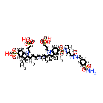 CN(CCCC(=O)NCc1ccc(S(N)(=O)=O)cc1)S(=O)(=O)c1ccc2c(c1)C(C)(C)C(/C=C/C=C/C=CC=C1N(CCCS(=O)(=O)O)c3ccc(S(=O)(=O)O)cc3C1(C)C)=[N+]2CCCS(=O)(=O)O